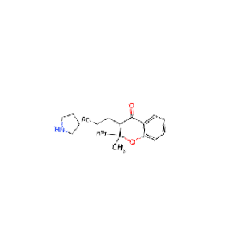 C1CCNC1.CCCC1(C)Oc2ccccc2C(=O)C1CCC(C)=O